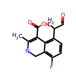 CC1=C(C(=O)O)c2c(C(C)C=O)ccc(F)c2C[N]1